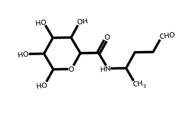 CC(CCC=O)NC(=O)C1OC(O)C(O)C(O)C1O